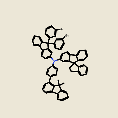 CC(C)(C)c1cccc(C2(c3cccc(C(C)(C)C)c3)c3ccccc3-c3ccc(N(c4ccc(-c5cccc6c5C(C)(C)c5ccccc5-6)cc4)c4ccc5c(c4)C4(CCc6ccccc64)c4ccccc4-5)cc32)c1